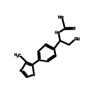 Cc1ncsc1-c1ccc(C(CO)NC(=O)O)cc1